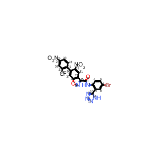 O=C(Nc1ccc(Br)cc1-c1nnn[nH]1)c1noc2cc(-c3ccc([N+](=O)[O-])cc3C(F)(F)F)c([N+](=O)[O-])cc12